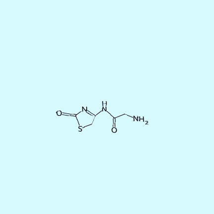 NCC(=O)NC1=NC(=O)SC1